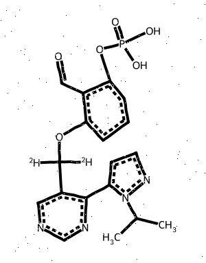 [2H]C([2H])(Oc1cccc(OP(=O)(O)O)c1C=O)c1cncnc1-c1ccnn1C(C)C